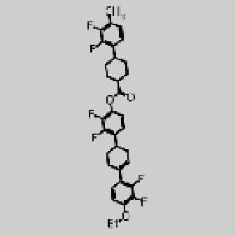 CCOc1ccc(C2=CCC(c3ccc(OC(=O)C4CCC(c5ccc(C)c(F)c5F)CC4)c(F)c3F)CC2)c(F)c1F